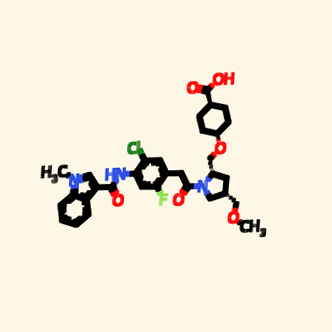 COC[C@H]1C[C@@H](CO[C@H]2CC[C@H](C(=O)O)CC2)N(C(=O)Cc2cc(Cl)c(NC(=O)c3cn(C)c4ccccc34)cc2F)C1